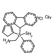 Cl.Cl.N[CH2][Zr]([SiH3])([C]1=CC=CC1)([c]1ccccc1)[CH]1c2ccccc2-c2ccccc21